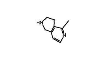 Cc1nccc2c1CCNC2